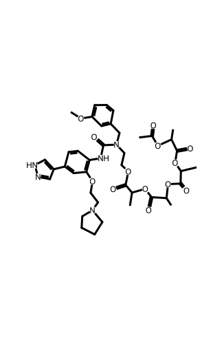 COc1cccc(CN(CCOC(=O)C(C)OC(=O)C(C)OC(=O)C(C)OC(=O)C(C)OC(C)=O)C(=O)Nc2ccc(-c3cn[nH]c3)cc2OCCN2CCCC2)c1